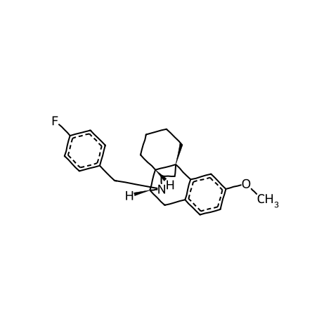 COc1ccc2c(c1)[C@@]13CCCC[C@H]1[C@@H](C2)N(Cc1ccc(F)cc1)CC3